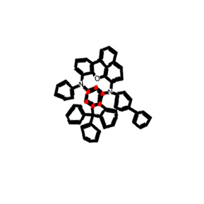 c1ccc(-c2ccc(N(c3cccc4c3-c3ccccc3C4(c3ccccc3)c3ccccc3)c3ccc4cccc5c4c3Oc3c-5cccc3N(c3ccccc3)c3ccccc3)cc2)cc1